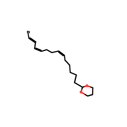 CC/C=C/C=C\CC/C=C\CCCCCC1OCCCO1